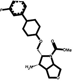 COC(=O)N1C2COCC2[C@H](N)[C@@H]1COC1CCC(c2cccc(F)c2)CC1